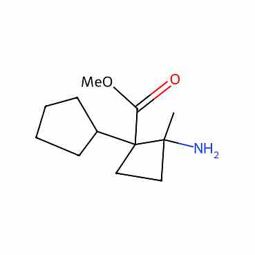 COC(=O)C1(C2CCCC2)CCC1(C)N